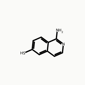 Nc1nccc2cc(S)ccc12